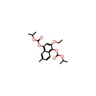 CCOc1cc(OC(=O)OC(C)C)c2cc(C)ccc2c1OC(=O)OC(C)C